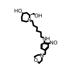 O=Nc1cc(CN2CCOCC2)ccc1NCCCCCCN1CCC[C@@H](O)C[C@H]1CO